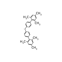 Cc1cc(C)c(-c2ccc([CH]c3ccc(-c4c(C)cc(C)cc4C)cc3)cc2)c(C)c1